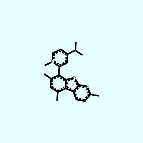 Cc1ccc2c(n1)oc1c(-c3cc(C(C)C)cc[n+]3C)c(C)cc(C)c12